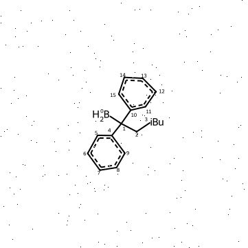 BC(CC(C)CC)(c1ccccc1)c1ccccc1